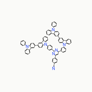 N#Cc1ccc(-c2cc(-c3cccc(-n4c5ccccc5c5cc(-c6ccc7c(c6)c6ccccc6n7-c6ccccc6)ccc54)c3)nc(-c3ccc(-n4c5ccccc5c5cc(-c6ccc7c(c6)c6ccccc6n7-c6ccccc6)ccc54)cc3)n2)cc1